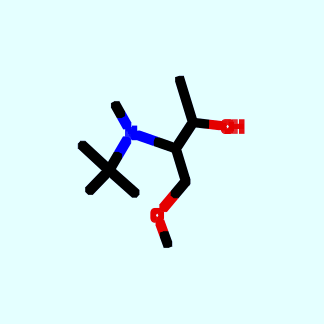 COCC(C(C)O)N(C)C(C)(C)C